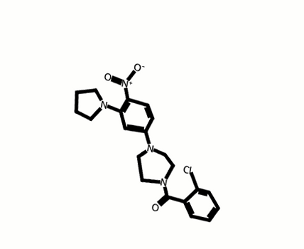 O=C(c1ccccc1Cl)N1CCN(c2ccc([N+](=O)[O-])c(N3CCCC3)c2)CC1